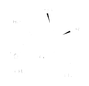 CCC1O[C@H](OC)[C@H](O)[C@@H](O)[C@H]1O